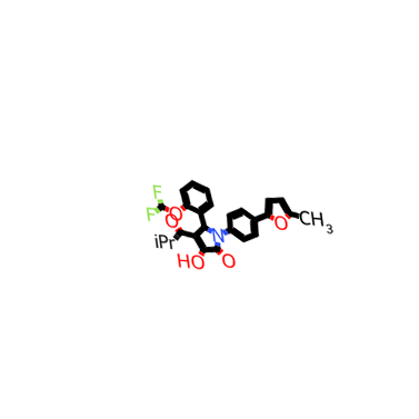 Cc1ccc(-c2ccc(N3C(=O)C(O)=C(C(=O)C(C)C)C3c3ccccc3OC(F)F)cc2)o1